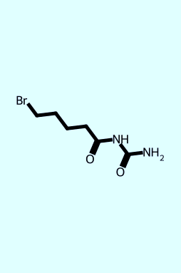 NC(=O)NC(=O)CCCCBr